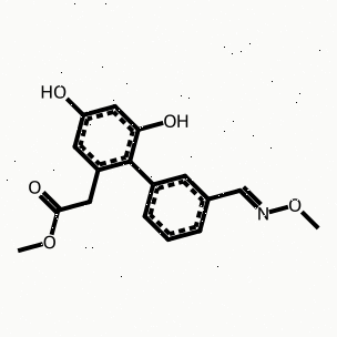 CON=Cc1cccc(-c2c(O)cc(O)cc2CC(=O)OC)c1